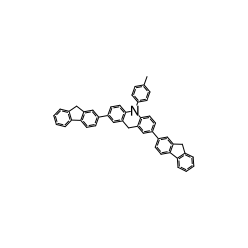 Cc1ccc(N2c3ccc(-c4ccc5c(c4)Cc4ccccc4-5)cc3Cc3cc(-c4ccc5c(c4)Cc4ccccc4-5)ccc32)cc1